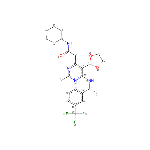 Cc1nc(CC(=O)NC2CCCCC2)c(C2OCCO2)c(N[C@H](C)c2cccc(C(F)(F)F)c2)n1